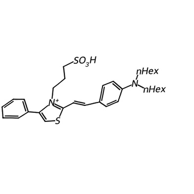 CCCCCCN(CCCCCC)c1ccc(/C=C/c2scc(-c3ccccc3)[n+]2CCCS(=O)(=O)O)cc1